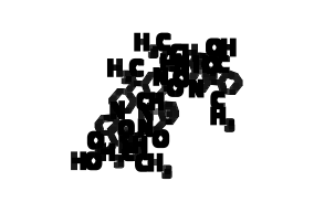 CCC(C1CCC(=O)N([C@H](CC(C)C)C(=O)N[C@@H](CC(=O)O)c2cncc(-c3c(C)cccc3C)c2)C1)C1CCN(c2cccc([C@H](CC(=O)O)NC(=O)[C@H](CC(C)C)n3cnc4ccccc4c3=O)c2)C[C@@H]1C